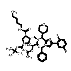 CCCCCNC(=O)[C@@H]1CN(C(=O)OC(C)(C)C)C[C@H]1CN(C(=O)[C@H](C)OC(C)=O)[C@@H](c1nc(-c2cc(F)ccc2F)cn1Cc1ccccc1)C1CCOCC1